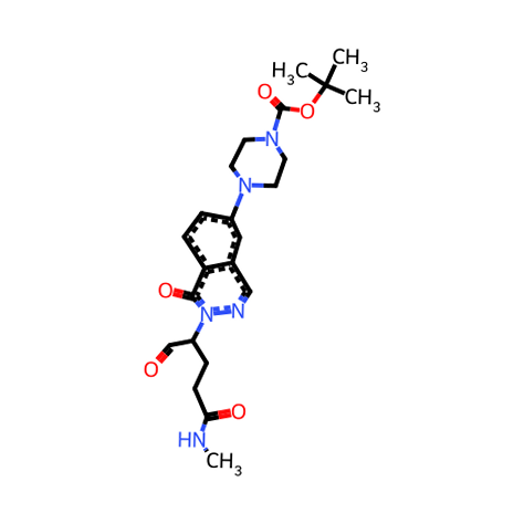 CNC(=O)CCC(C=O)n1ncc2cc(N3CCN(C(=O)OC(C)(C)C)CC3)ccc2c1=O